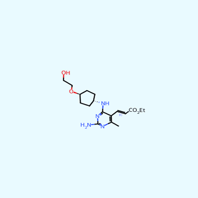 CCOC(=O)/C=C/c1c(C)nc(N)nc1N[C@H]1CC[C@H](OCCO)CC1